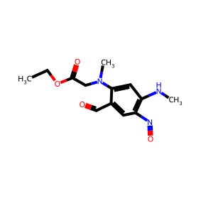 CCOC(=O)CN(C)c1cc(NC)c(N=O)cc1C=O